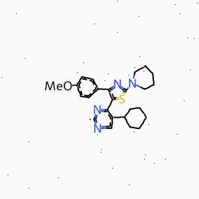 COc1ccc(-c2nc(N3CCCCC3)sc2-c2n[c]ncc2C2CCCCC2)cc1